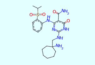 CC(C)S(=O)(=O)c1ccccc1Nc1nc(NCC2(N)CCCCCC2)[nH]c(=O)c1C(N)=O